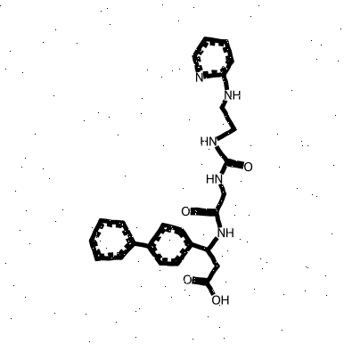 O=C(O)CC(NC(=O)CNC(=O)NCCNc1ccccn1)c1ccc(-c2ccccc2)cc1